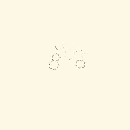 CCN(C(=O)c1cc2ccccc2[nH]1)C1CCCC(NC(c2ccccc2)C(F)(F)F)C1